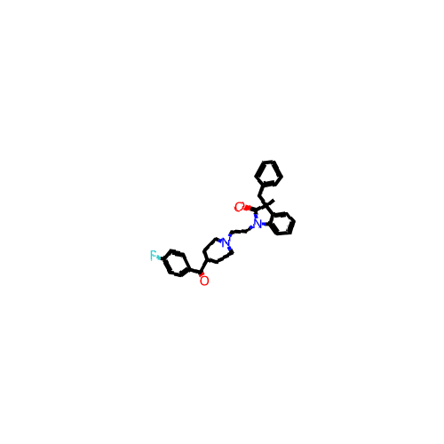 CC1(Cc2ccccc2)C(=O)N(CCN2CCC(C(=O)c3ccc(F)cc3)CC2)c2ccccc21